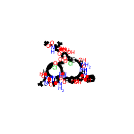 CC(C)C[C@H](C(=O)N[C@H]1C(=O)N[C@@H](CC(N)=O)C(=O)N[C@H]2C(=O)N[C@@H](C=O)c3ccc(O)c(c3)C3=C(CC(O)C=C3O)[C@@H](C(=O)NC3C4CC5CC(C4)CC3C5)NC(=O)[C@H](N)C(O)c3ccc(c(Cl)c3)Oc3cc2cc(c3OC2OC(C)C(O)C(O)C2OC(O)CC(C)(NC(=O)OC(C)(C)C)C(O)C(C)C)Oc2ccc(cc2Cl)[C@@H]1O)N(C)C(=O)OC(C)(C)C